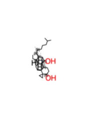 CC(C)CCC[C@@H](C)[C@H]1CC[C@H]2[C@@H]3CC=C4C5(CC5)[C@H](O)CC[C@]4(C)[C@H]3[C@H](O)C[C@]12C